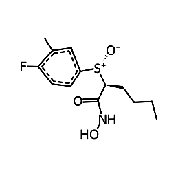 CCCC[C@@H](C(=O)NO)[S@@+]([O-])c1ccc(F)c(C)c1